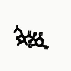 Cc1c(NS(=O)(=O)c2c(Cl)cc(Br)cc2Cl)c(CC(C)C)nn1C